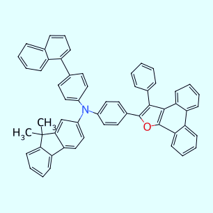 CC1(C)c2ccccc2-c2ccc(N(c3ccc(-c4oc5c6ccccc6c6ccccc6c5c4-c4ccccc4)cc3)c3ccc(-c4cccc5ccccc45)cc3)cc21